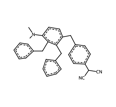 CN(C)c1ccc(Cc2ccc(C(C#N)C#N)cc2)c(Cc2ccccc2)c1Cc1ccccc1